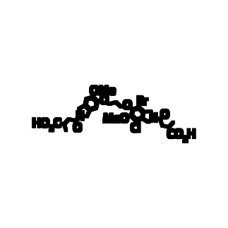 COc1cc2c(cc1OCCCOc1c(Br)c3c(c(Cl)c1OC)CN(C(=O)CC(C)C(=O)O)C3)CN(C(=O)CC(C)C(=O)O)C2